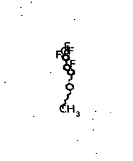 CCCCCCC[C@H]1CC[C@H](CCc2ccc3c(F)c(-c4ccc(OC(F)F)c(F)c4)ccc3c2)CC1